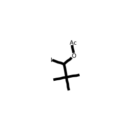 CC(=O)OC(I)C(C)(C)C